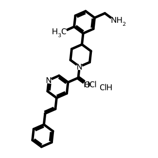 Cc1ccc(CN)cc1C1CCN(C(=O)c2cncc(C=Cc3ccccc3)c2)CC1.Cl.Cl